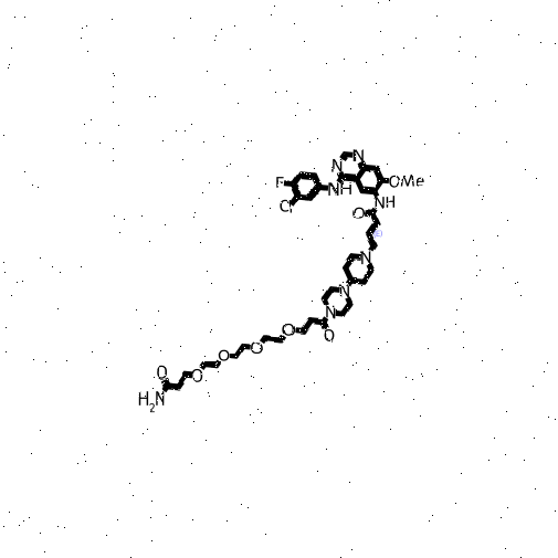 COc1cc2ncnc(Nc3ccc(F)c(Cl)c3)c2cc1NC(=O)/C=C/CN1CCC(N2CCN(C(=O)CCOCCOCCOCCOCCC(N)=O)CC2)CC1